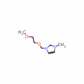 COCCOCN1C=CN(C)C1